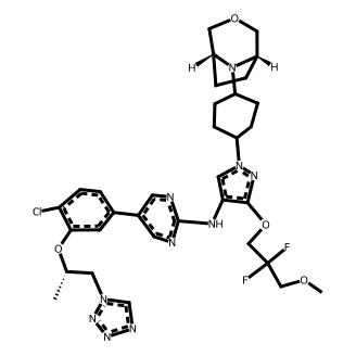 COCC(F)(F)COc1nn(C2CCC(N3[C@@H]4CC[C@H]3COC4)CC2)cc1Nc1ncc(-c2ccc(Cl)c(O[C@@H](C)Cn3cnnn3)c2)cn1